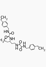 C=Cc1ccc(CNC(=O)C(=O)NCCC(CC)NC(=O)C(=O)NCc2ccc(C=C)cc2)cc1